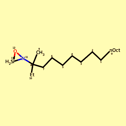 CCCCCCCCCCCCCCCC(C)(CC)N1O[SiH2]1